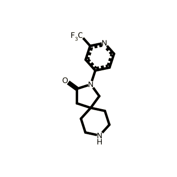 O=C1CC2(CCNCC2)CN1c1ccnc(C(F)(F)F)c1